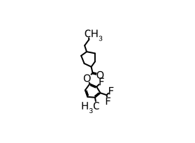 CCCC1CCC(C(=O)Oc2ccc(C)c(C(F)F)c2F)CC1